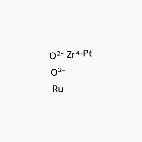 [O-2].[O-2].[Pt].[Ru].[Zr+4]